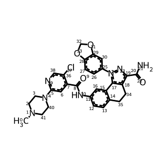 CN1CCN(c2cc(C(=O)Nc3ccc4c(c3)-c3c(c(C(N)=O)nn3-c3ccc5c(c3)OCO5)CC4)c(Cl)cn2)CC1